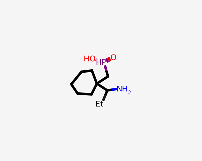 CCC(N)C1(C[PH](=O)O)CCCCC1